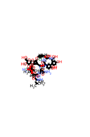 CN[C@H](CC(C)C)C(=O)N[C@H]1C(=O)N[C@@H](CC(N)=O)C(=O)N[C@H]2C(=S)N[C@H]3C(=O)N[C@H](C(=O)N[C@H](CO)C4=CC(O)CC(O)=C4C4CC3=CC=C4O)[C@H](O)C3=CC=C(Oc4cc2cc(c4O[C@H]2OC(CO)C(O)[C@H](O)C2O[C@H]2CC(C)(N)[C@H](O)C(C)O2)OC2=C(Cl)C=C(CC2)[C@H]1O)C(Cl)C3